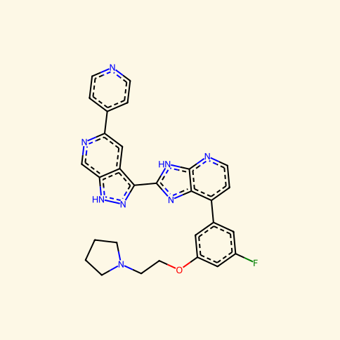 Fc1cc(OCCN2CCCC2)cc(-c2ccnc3[nH]c(-c4n[nH]c5cnc(-c6ccncc6)cc45)nc23)c1